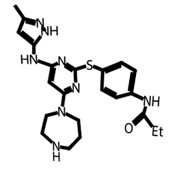 CCC(=O)Nc1ccc(Sc2nc(Nc3cc(C)n[nH]3)cc(N3CCCNCC3)n2)cc1